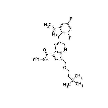 CCCNC(=O)c1cn(COCC[Si](C)(C)C)c2ncc(-c3nn(C)c4cc(F)cc(F)c34)nc12